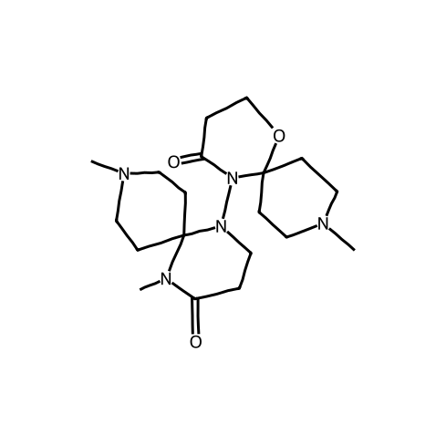 CN1CCC2(CC1)OCCC(=O)N2N1CCC(=O)N(C)C12CCN(C)CC2